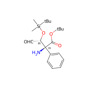 CC(C)(C)OC(=O)[C@](N)(c1ccccc1)[C@H](C=O)O[Si](C)(C)C(C)(C)C